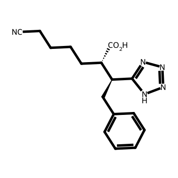 N#CCCCC[C@H](C(=O)O)[C@H](Cc1ccccc1)c1nnn[nH]1